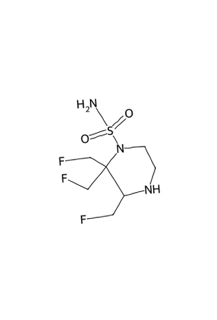 NS(=O)(=O)N1CCNC(CF)C1(CF)CF